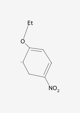 CCOC1=CC=C([N+](=O)[O-])C[CH]1